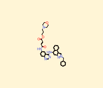 O=C(C=CC(=O)OCCCN1CCOCC1)Nc1ccc2ncnc(Nc3cc4nn(Cc5ccccc5)cc4c4ccccc34)c2c1